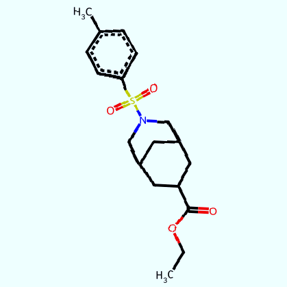 CCOC(=O)C1CC2CC(C1)CN(S(=O)(=O)c1ccc(C)cc1)C2